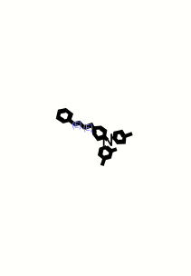 Cc1ccc(N(c2ccc(/C=C/C=C/c3ccccc3)cc2)c2ccc(C)cc2C)cc1